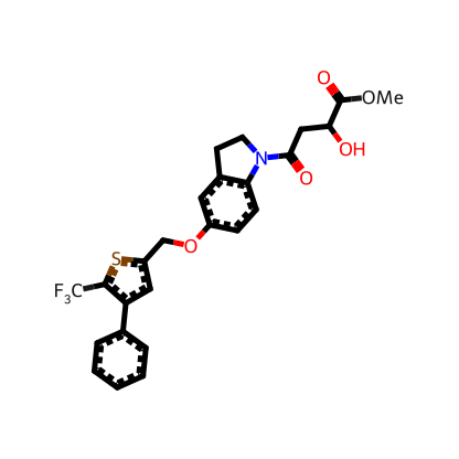 COC(=O)C(O)CC(=O)N1CCc2cc(OCc3cc(-c4ccccc4)c(C(F)(F)F)s3)ccc21